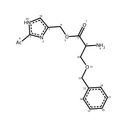 CC(=O)c1nc(COC(=O)C(N)COCc2ccccc2)c[nH]1